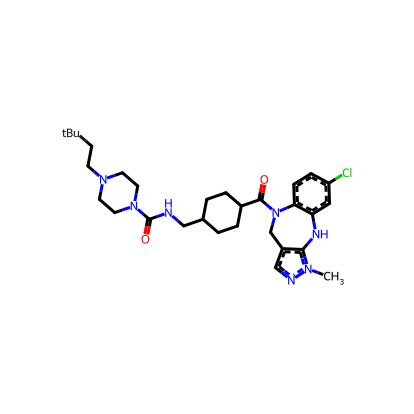 Cn1ncc2c1Nc1cc(Cl)ccc1N(C(=O)C1CCC(CNC(=O)N3CCN(CCC(C)(C)C)CC3)CC1)C2